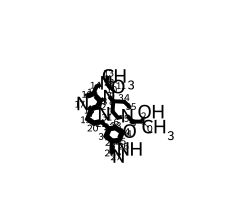 C[C@@H](O)C(=O)N1CCC(N2C(=O)N(C)Cc3cnc4ccc(-c5ccc6[nH]ncc6c5)nc4c32)CC1